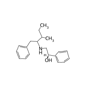 CCC(C)C(Cc1ccccc1)NC[C@H](O)c1ccccc1